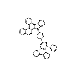 c1ccc(-c2nc(-c3ccc(-n4c5ccccc5c5c6ccccc6c6c7ccccc7ccc6c54)cc3)cc(-c3ccccc3-c3ccccc3)n2)cc1